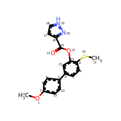 COc1ccc(-c2ccc(SC)c(OC(=O)c3cc[nH]n3)c2)cc1